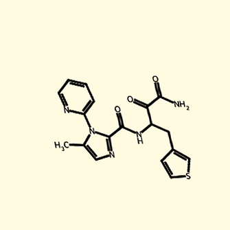 Cc1cnc(C(=O)NC(Cc2ccsc2)C(=O)C(N)=O)n1-c1ccccn1